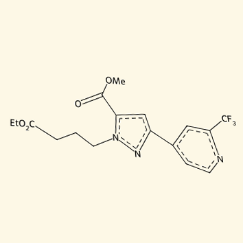 CCOC(=O)CCCn1nc(-c2ccnc(C(F)(F)F)c2)cc1C(=O)OC